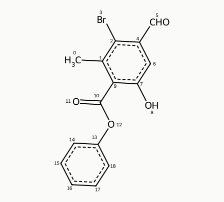 Cc1c(Br)c(C=O)cc(O)c1C(=O)Oc1ccccc1